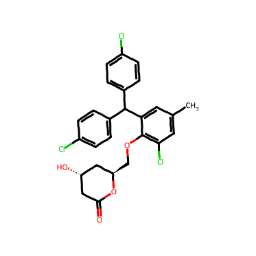 Cc1cc(Cl)c(OC[C@@H]2C[C@@H](O)CC(=O)O2)c(C(c2ccc(Cl)cc2)c2ccc(Cl)cc2)c1